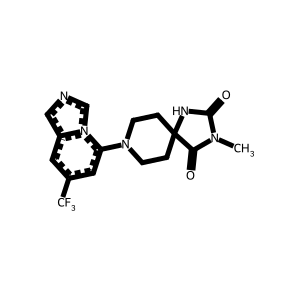 CN1C(=O)NC2(CCN(c3cc(C(F)(F)F)cc4cncn34)CC2)C1=O